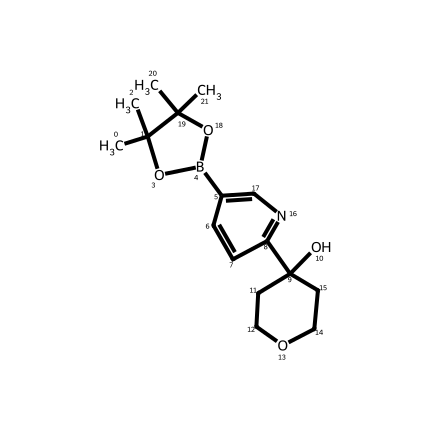 CC1(C)OB(c2ccc(C3(O)CCOCC3)nc2)OC1(C)C